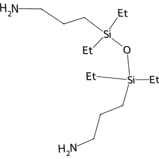 CC[Si](CC)(CCCN)O[Si](CC)(CC)CCCN